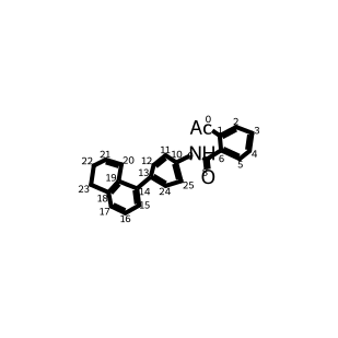 CC(=O)c1ccccc1C(=O)Nc1ccc(-c2cccc3c2C=CCC3)cc1